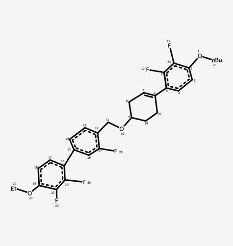 CCCCOc1ccc(C2=CCC(OCc3ccc(-c4ccc(OCC)c(F)c4F)cc3F)CC2)c(F)c1F